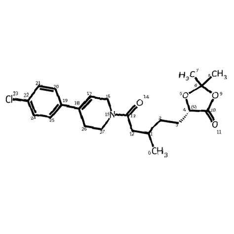 CC(CC[C@@H]1OC(C)(C)OC1=O)CC(=O)N1CC=C(c2ccc(Cl)cc2)CC1